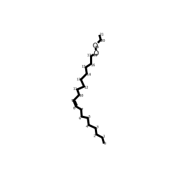 CCCCCCCC/C=C\CCCCCCCCOOCC